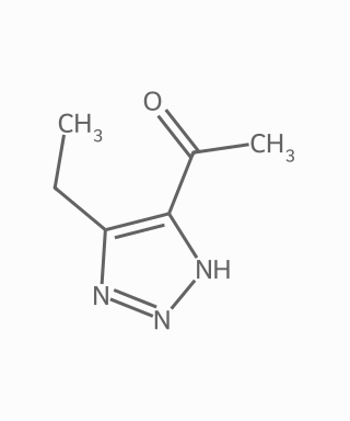 CCc1nn[nH]c1C(C)=O